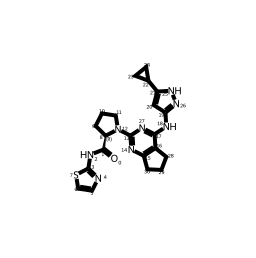 O=C(Nc1nccs1)[C@H]1CCCN1c1nc2c(c(Nc3cc(C4CC4)[nH]n3)n1)CCC2